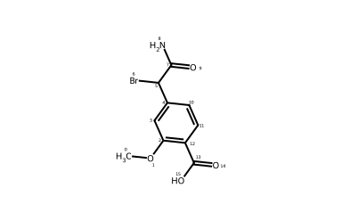 COc1cc(C(Br)C(N)=O)ccc1C(=O)O